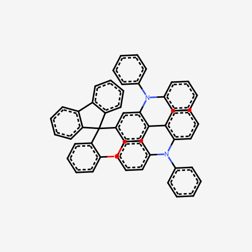 c1ccc(N(c2ccccc2)c2ccccc2-c2cc3c(cc2N(c2ccccc2)c2ccccc2)C2(c4ccccc4O3)c3ccccc3-c3ccccc32)cc1